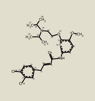 COc1ccc(NC(=O)/C=C/Cc2ccc(Cl)c(Cl)c2)cc1OCCN(C(C)C)C(C)C